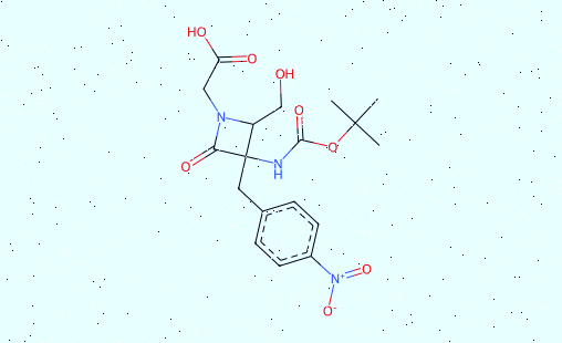 CC(C)(C)OC(=O)NC1(Cc2ccc([N+](=O)[O-])cc2)C(=O)N(CC(=O)O)C1CO